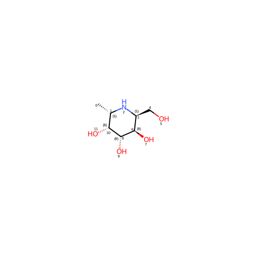 C[C@@H]1N[C@@H](CO)[C@@H](O)[C@H](O)[C@@H]1O